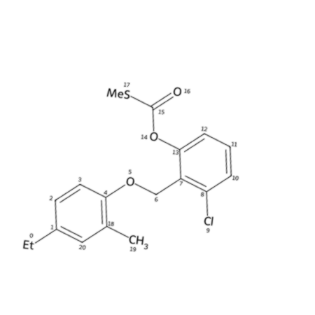 CCc1ccc(OCc2c(Cl)cccc2OC(=O)SC)c(C)c1